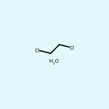 ClCCCl.O